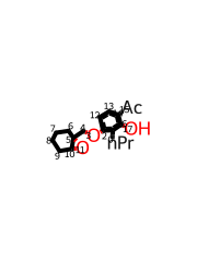 CCCc1c(OCC23CCCCC2O3)ccc(C(C)=O)c1O